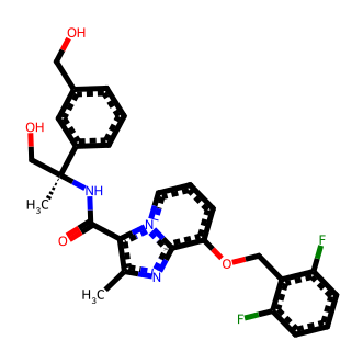 Cc1nc2c(OCc3c(F)cccc3F)cccn2c1C(=O)N[C@@](C)(CO)c1cccc(CO)c1